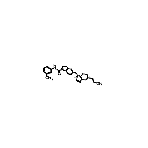 Cc1cccc(NC(=O)n2ccc3cc(Oc4ncnc5c4CCN(CCO)C5)ccc32)c1